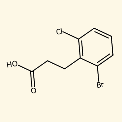 O=C(O)CCc1c(Cl)cccc1Br